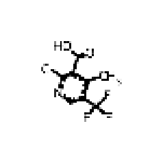 Cc1c(C(F)(F)F)cnc(Cl)c1C(=O)O